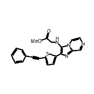 COC(=O)CNc1c(-c2ccc(C#Cc3ccccc3)s2)nc2cnccn12